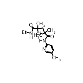 CCNC(=O)C(C)(CC)CC(C)(C)C(=O)Nc1ccc(C)cn1